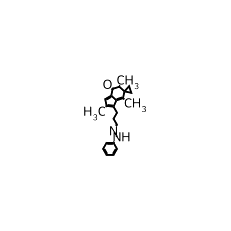 CC1=C(CCC=NNc2ccccc2)C2=C(C)C3(CC3)[C@H](C)C(=O)C2=C1